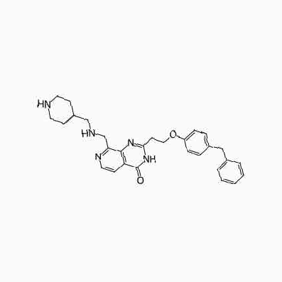 O=c1[nH]c(CCOc2ccc(Cc3ccccc3)cc2)nc2c(CNCC3CCNCC3)nccc12